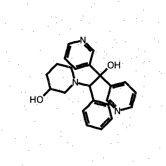 OC1CCCN(C(c2ccccc2)C(O)(c2cccnc2)c2cccnc2)C1